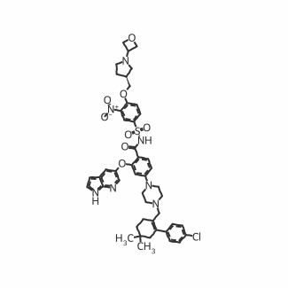 CC1(C)CCC(CN2CCN(c3ccc(C(=O)NS(=O)(=O)c4ccc(OC[C@H]5CCN(C6COC6)C5)c([N+](=O)[O-])c4)c(Oc4cnc5[nH]ccc5c4)c3)CC2)=C(c2ccc(Cl)cc2)C1